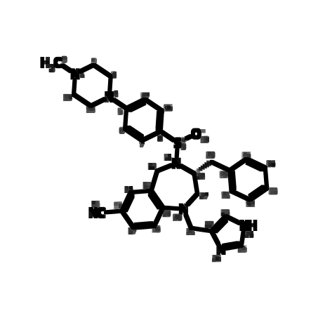 CN1CCN(c2ccc([S+]([O-])N3Cc4cc(C#N)ccc4N(Cc4c[nH]cn4)C[C@H]3Cc3ccccc3)cc2)CC1